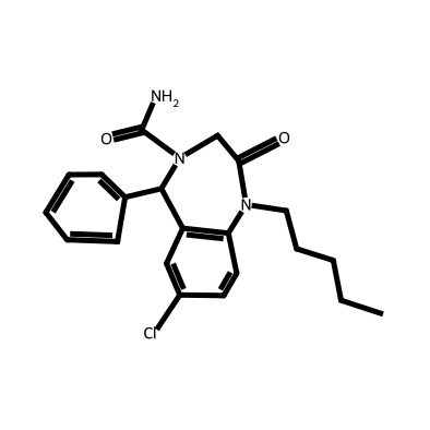 CCCCCN1C(=O)CN(C(N)=O)C(c2ccccc2)c2cc(Cl)ccc21